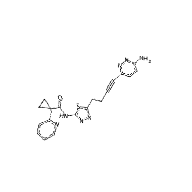 Nc1ccc(C#CCCc2nnc(NC(=O)C3(c4ccccn4)CC3)s2)nn1